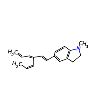 C=C/C=C(\C=C/C)/C=C/c1ccc2c(c1)CCN2C